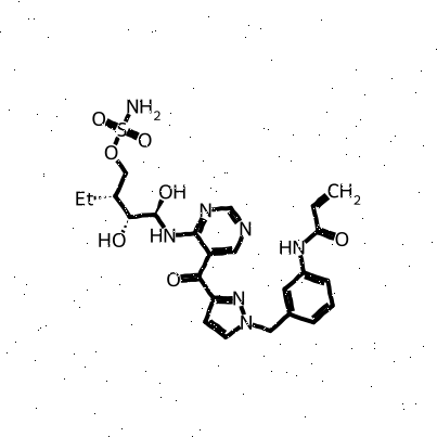 C=CC(=O)Nc1cccc(Cn2ccc(C(=O)c3cncnc3N[C@H](O)[C@H](O)[C@H](CC)COS(N)(=O)=O)n2)c1